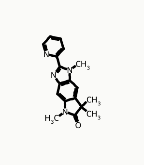 CN1C(=O)C(C)(C)c2cc3c(cc21)nc(-c1ccccn1)n3C